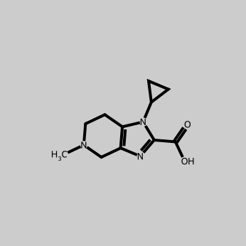 CN1CCc2c(nc(C(=O)O)n2C2CC2)C1